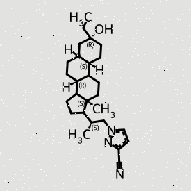 CC[C@@]1(O)CC[C@@H]2C3CC[C@@]4(C)C(CCC4[C@H](C)Cn4ccc(C#N)n4)[C@@H]3CC[C@@H]2C1